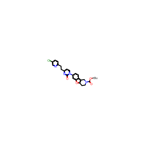 CC(C)(C)OC(=O)N1CCc2oc3cc(-n4ccc(CCc5ccc(Cl)cn5)nc4=O)ccc3c2C1